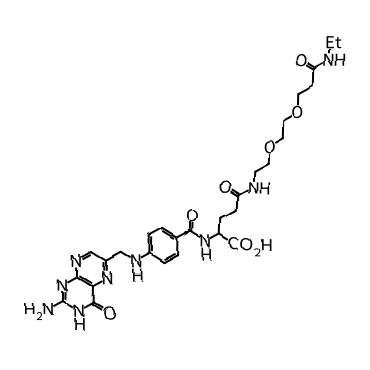 CCNC(=O)CCOCCOCCNC(=O)CCC(NC(=O)c1ccc(NCc2cnc3nc(N)[nH]c(=O)c3n2)cc1)C(=O)O